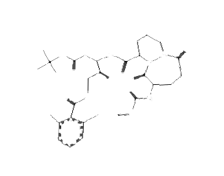 COC(=O)NC1CCC(=O)N2CCCC(C(=O)NC(CC(=O)OC(C)(C)C)C(=O)COC(=O)c3c(C)cccc3C)N2C1=O